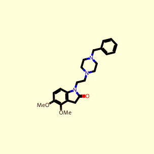 COc1ccc2c(c1OC)CC(=O)N2CCN1CCN(Cc2ccccc2)CC1